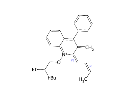 C=c1c(-c2ccccc2)c2ccccc2[n+](OCC(CC)CCCC)/c1=C/C=C\C